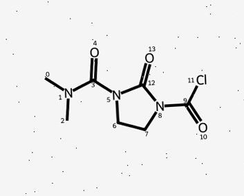 CN(C)C(=O)N1CCN(C(=O)Cl)C1=O